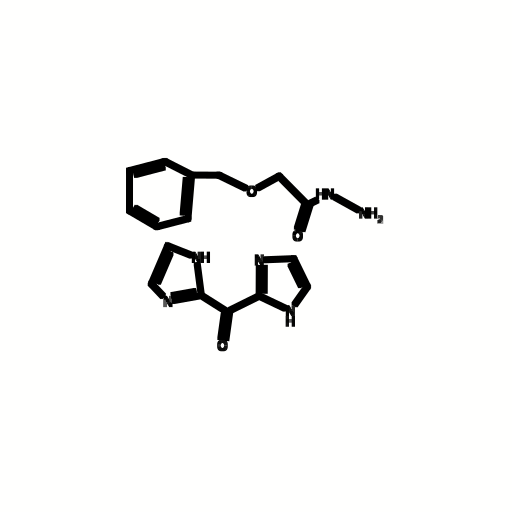 NNC(=O)COCc1ccccc1.O=C(c1ncc[nH]1)c1ncc[nH]1